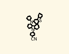 N#Cc1ccc(-n2c3ccccc3c3c(N(c4ccccc4)c4ccc5sc6ccccc6c5c4)cccc32)cc1